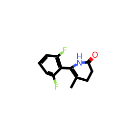 CC1=C(c2c(F)cccc2F)NC(=O)CC1